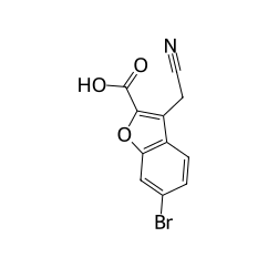 N#CCc1c(C(=O)O)oc2cc(Br)ccc12